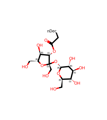 CCCCCCCCCCCC(=O)O[C@H]1[C@H](O)[C@@H](CO)O[C@@]1(CO)O[C@H]1O[C@H](CO)[C@@H](O)[C@H](O)[C@H]1O